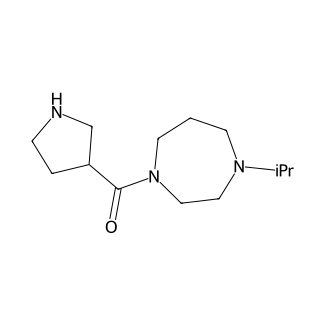 CC(C)N1CCCN(C(=O)C2CCNC2)CC1